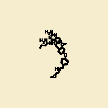 CCCC(N)Nc1nc(N)nc2cnn(Cc3ccc(Oc4ccc(CNCCOC)cc4)cc3OC)c12